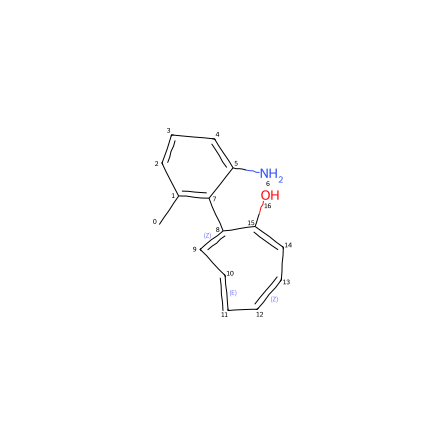 Cc1cccc(N)c1/C1=C/C=C/C=C\C=C1O